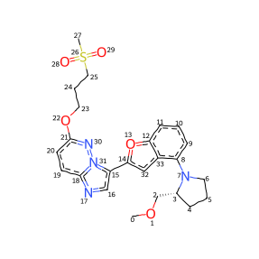 COC[C@H]1CCCN1c1cccc2oc(-c3cnc4ccc(OCCCS(C)(=O)=O)nn34)cc12